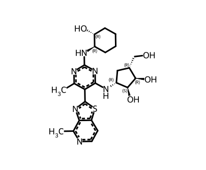 Cc1nc(N[C@@H]2CCCC[C@H]2O)nc(N[C@@H]2C[C@H](CO)[C@@H](O)[C@H]2O)c1-c1nc2c(C)nccc2s1